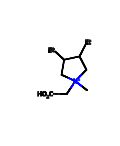 CCC1C[N+](C)(CC(=O)O)CC1CC